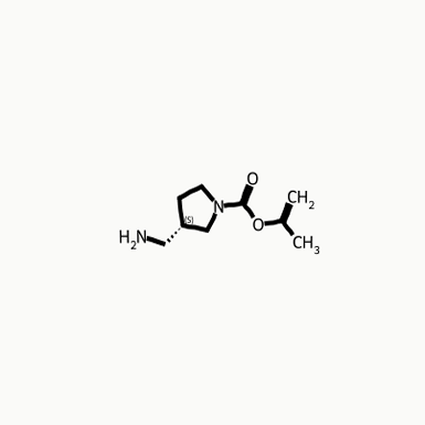 C=C(C)OC(=O)N1CC[C@@H](CN)C1